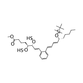 CCCCC[C@H](/C=C/C=C/c1ccccc1/C=C/[C@@H](OS)[C@H](CCCC(=O)OC)OS)O[Si](C)(C)C(C)(C)C